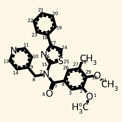 COc1cc(C(=O)N(Cc2ccncc2)c2nc(-c3ccccc3)cs2)cc(C)c1OC